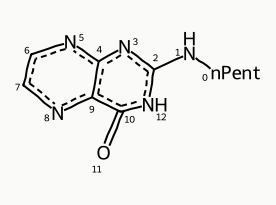 CCCCCNc1nc2nccnc2c(=O)[nH]1